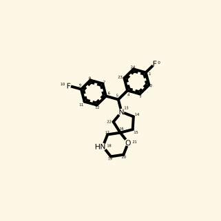 Fc1ccc(C(c2ccc(F)cc2)N2CCC3(CNCCO3)C2)cc1